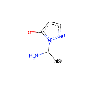 CCCCC(N)n1[nH]ccc1=O